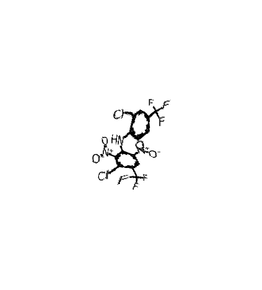 O=[N+]([O-])c1cc(C(F)(F)F)c(Cl)c([N+](=O)[O-])c1Nc1ccc(C(F)(F)F)cc1Cl